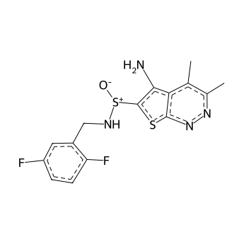 Cc1nnc2sc([S+]([O-])NCc3cc(F)ccc3F)c(N)c2c1C